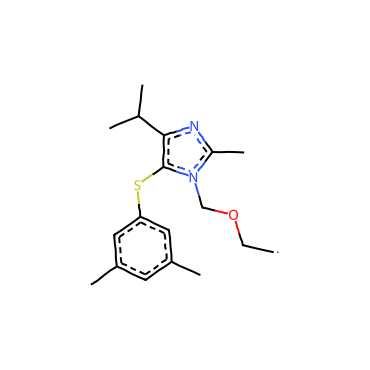 [CH2]COCn1c(C)nc(C(C)C)c1Sc1cc(C)cc(C)c1